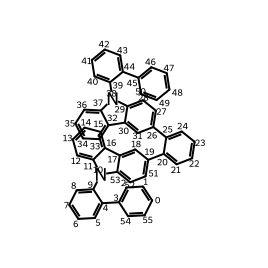 c1ccc(-c2ccccc2-n2c3ccccc3c3cc(-c4ccccc4-c4ccc5c(c4)c4ccccc4n5-c4ccccc4-c4ccccc4)ccc32)cc1